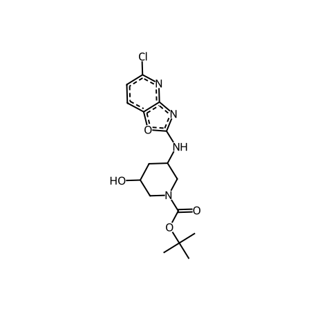 CC(C)(C)OC(=O)N1CC(O)CC(Nc2nc3nc(Cl)ccc3o2)C1